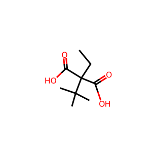 CCC(C(=O)O)(C(=O)O)C(C)(C)C